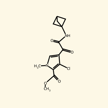 COC(=O)c1c(Cl)c(C(=O)C(=O)NC23CC(C2)C3)cn1C